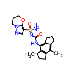 Cc1c2c(c(NC(=O)N=[S@@](N)(=O)c3cnn4c3OCCC4)c3c1CC[C@H]3C)CCC2